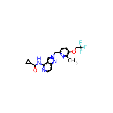 Cc1nc(Cn2cc3c(NC(=O)C4CC4)nccc3n2)ccc1OCC(F)(F)F